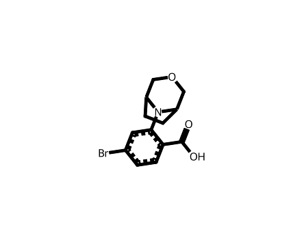 O=C(O)c1ccc(Br)cc1N1C2CCC1COC2